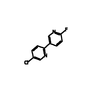 Fc1ccc(-c2ccc(Cl)cn2)cn1